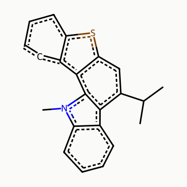 CC(C)c1cc2sc3ccccc3c2c2c1c1ccccc1n2C